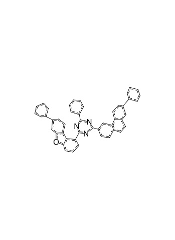 c1ccc(-c2ccc3c(ccc4ccc(-c5nc(-c6ccccc6)nc(-c6cccc7oc8cc(-c9ccccc9)ccc8c67)n5)cc43)c2)cc1